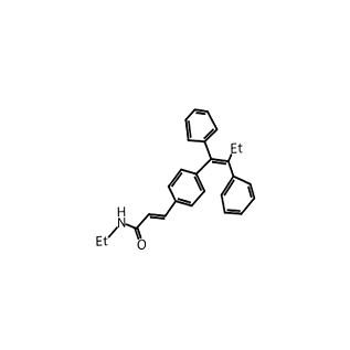 CCNC(=O)C=Cc1ccc(C(=C(CC)c2ccccc2)c2ccccc2)cc1